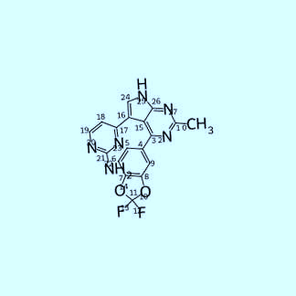 Cc1nc(-c2ccc3c(c2)OC(F)(F)O3)c2c(-c3ccnc(N)n3)c[nH]c2n1